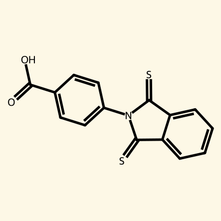 O=C(O)c1ccc(N2C(=S)c3ccccc3C2=S)cc1